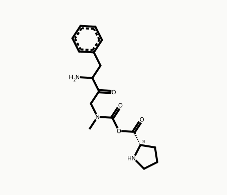 CN(CC(=O)C(N)Cc1ccccc1)C(=O)OC(=O)[C@@H]1CCCN1